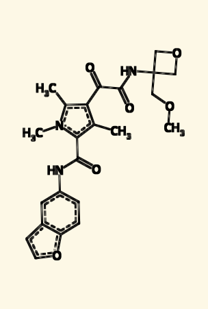 COCC1(NC(=O)C(=O)c2c(C)c(C(=O)Nc3ccc4occc4c3)n(C)c2C)COC1